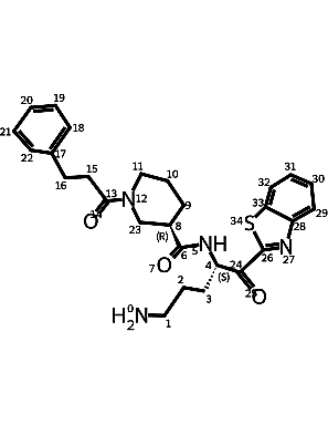 NCCC[C@H](NC(=O)[C@@H]1CCCN(C(=O)CCc2ccccc2)C1)C(=O)c1nc2ccccc2s1